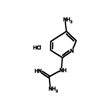 Cl.N=C(N)Nc1ccc(N)cn1